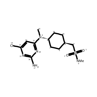 CNS(=O)(=O)C[C@H]1CC[C@H](N(C)c2cc(Cl)nc(N)n2)CC1